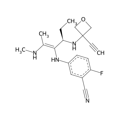 C#CC1(N[C@H](CC)/C(Nc2ccc(F)c(C#N)c2)=C(\C)NC)COC1